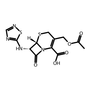 CC(=O)OCC1=C(C(=O)O)N2C(=O)[C@H](Nc3ncns3)[C@@H]2SC1